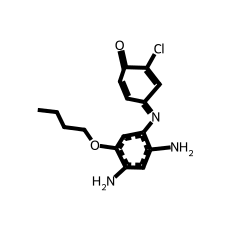 CCCCOc1cc(/N=C2\C=CC(=O)C(Cl)=C2)c(N)cc1N